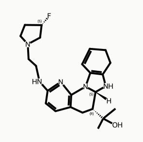 CC(C)(O)[C@@H]1Cc2ccc(NCCN3CC[C@H](F)C3)nc2N2C3=C(CCC=C3)N[C@H]12